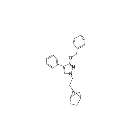 c1ccc(COc2nn(CCN3CC4CCC3C4)cc2-c2ccccc2)cc1